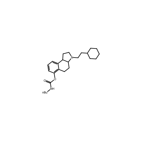 CCCCNC(=O)Oc1cccc2c1CCC1C2CCN1CCC1CCCCC1